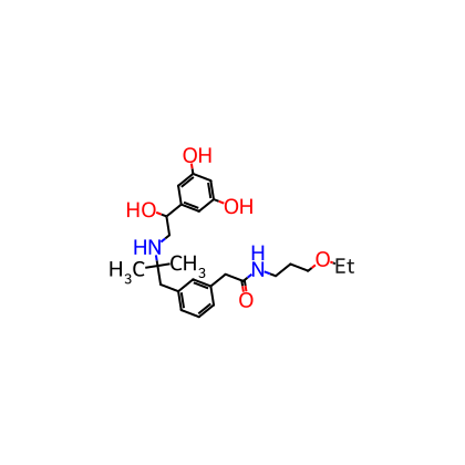 CCOCCCNC(=O)Cc1cccc(CC(C)(C)NCC(O)c2cc(O)cc(O)c2)c1